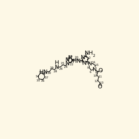 Nc1cc(N2CCN(C(=O)CCCC=O)CC2)nc(NCc2cn(CCCNCCCNC3CCCCC3)nn2)n1